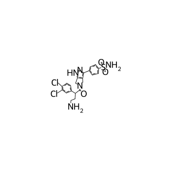 NCCC(C(=O)N1Cc2[nH]nc(-c3ccc(S(N)(=O)=O)cc3)c2C1)c1ccc(Cl)c(Cl)c1